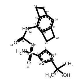 CC(C)(O)c1ncc(S(N)(=O)=NC(=O)Nc2c3c(cc4c2CC4)CC3)s1